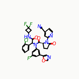 N#Cc1ccnc(N2C(=O)CC[C@H]2C(=O)N(c2cc(F)cc(-c3cnco3)c2)C(C(=O)NC2CC(F)(F)C2)c2ccccc2Cl)c1